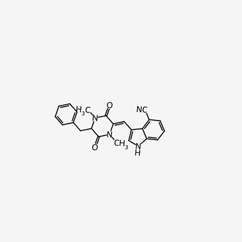 CN1C(=O)C(Cc2ccccc2)N(C)C(=O)C1=Cc1c[nH]c2cccc(C#N)c12